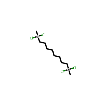 C[Si](Cl)(Cl)CCCCCCCC[Si](C)(Cl)Cl